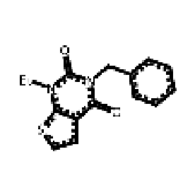 CCn1c(=O)n(Cc2ccccc2)c(=O)c2ccsc21